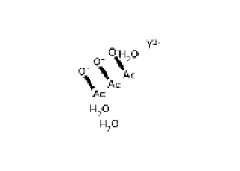 CC(=O)[O-].CC(=O)[O-].CC(=O)[O-].O.O.O.[Y+3]